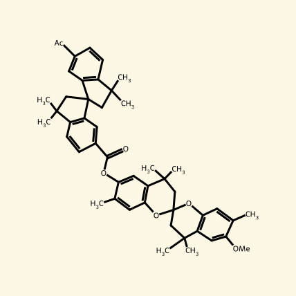 COc1cc2c(cc1C)OC1(CC2(C)C)CC(C)(C)c2cc(OC(=O)c3ccc4c(c3)C3(CC(C)(C)c5ccc(C(C)=O)cc53)CC4(C)C)c(C)cc2O1